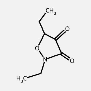 CCC1ON(CC)C(=O)C1=O